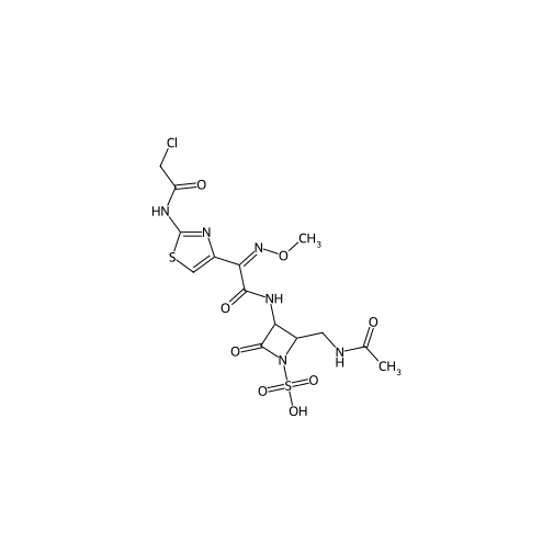 CON=C(C(=O)NC1C(=O)N(S(=O)(=O)O)C1CNC(C)=O)c1csc(NC(=O)CCl)n1